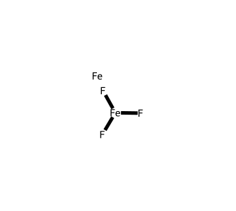 [F][Fe]([F])[F].[Fe]